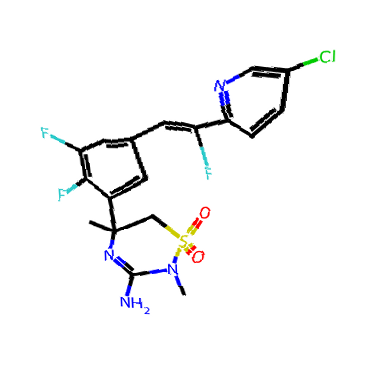 CN1C(N)=NC(C)(c2cc(C=C(F)c3ccc(Cl)cn3)cc(F)c2F)CS1(=O)=O